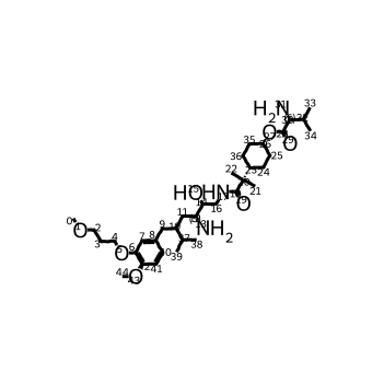 COCCCOc1cc(CC(C[C@H](N)C(O)CNC(=O)C(C)(C)[C@H]2CC[C@H](OC(=O)[C@@H](N)C(C)C)CC2)C(C)C)ccc1OC